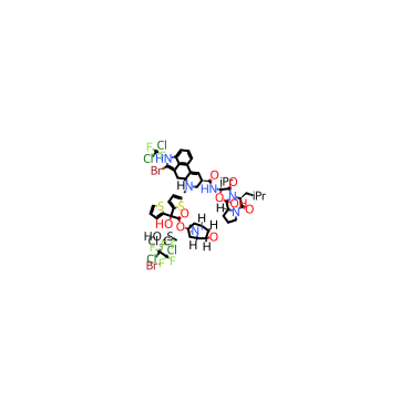 CC(C)C[C@H]1C(=O)N2CCC[C@H]2[C@]2(O)O[C@](NC(=O)[C@@H]3C=C4c5cccc6[nH]c(Br)c(c56)C[C@H]4N(C)C3)(C(C)C)C(=O)N12.CS(=O)(=O)O.C[N+]1(C)[C@@H]2C[C@@H](OC(=O)C(O)(c3cccs3)c3cccs3)C[C@H]1[C@@H]1O[C@@H]12.FC(Cl)(Cl)Cl.FC(F)(Cl)C(F)(F)Cl.FC(F)(Cl)Cl.[Br-]